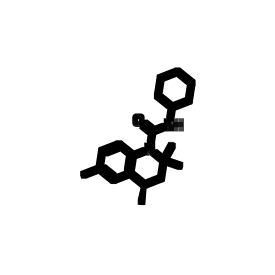 Cc1ccc2c(c1)[C@H](C)CC(C)(C)N2C(=O)NC1CCCCC1